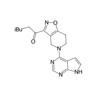 CCC(C)CC(=O)c1noc2c1CN(c1ncnc3[nH]ccc13)CC2